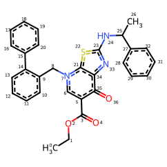 CCOC(=O)c1cn(Cc2ccccc2-c2ccccc2)c2sc(NC(C)c3ccccc3)nc2c1=O